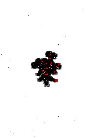 CCCCOCC1O[C@H](O)[C@@H](O[C@H]2OC(COCCCC)[C@@H](O[C@@H]3OC4COC(c5ccccc5)O[C@H]4C(OC(=O)OCC4c5ccccc5-c5ccccc54)[C@@H]3OC(=O)c3ccccc3)[C@H](OC(=O)OCC3c4ccccc4-c4ccccc43)C2OCCCC)C(OCCCC)[C@@H]1OCCCC